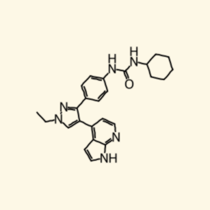 CCn1cc(-c2ccnc3[nH]ccc23)c(-c2ccc(NC(=O)NC3CCCCC3)cc2)n1